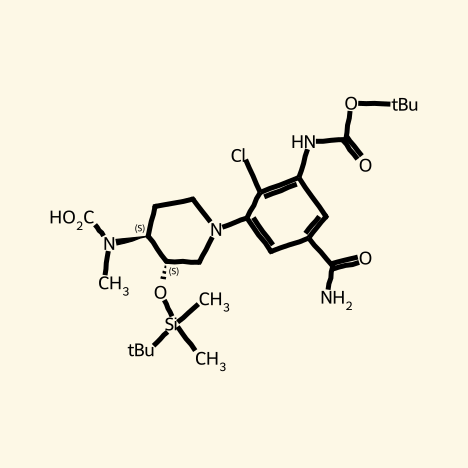 CN(C(=O)O)[C@H]1CCN(c2cc(C(N)=O)cc(NC(=O)OC(C)(C)C)c2Cl)C[C@@H]1O[Si](C)(C)C(C)(C)C